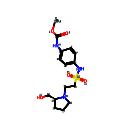 CC(C)(C)OC(=O)Nc1ccc(NS(=O)(=O)CCN2CCC[C@H]2CO)cc1